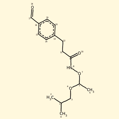 CC(C)COC(C)ONC(=O)CCc1ccc(C=O)cc1